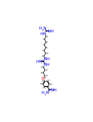 N=C(N)NCCCCCCCCNC(=N)NCCCCOc1ccc(C(=N)N)cc1